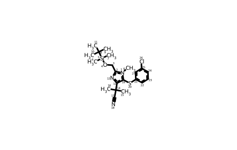 Cn1c(CO[Si](C)(C)C(C)(C)C)nc(C(C)(C)C#N)c1Sc1cccc(Cl)c1